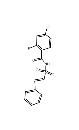 O=C(NS(=O)(=O)C=Cc1ccccc1)c1ccc(Cl)cc1F